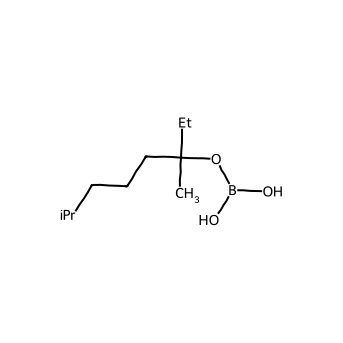 CCC(C)(CCCC(C)C)OB(O)O